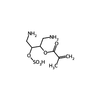 C=C(C)C(=O)OC(CN)C(CN)OS(=O)(=O)O